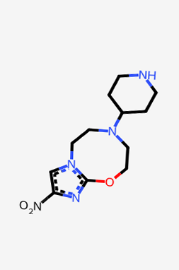 O=[N+]([O-])c1cn2c(n1)OCCN(C1CCNCC1)CC2